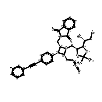 CC1(C)O[C@H]([C@H](O)CO)[C@H](CN2[C@H](CN3C(=O)c4ccccc4C3=O)[C@H](c3ccc(C#Cc4ccccc4)cc3)[C@@H]2CN=[N+]=[N-])O1